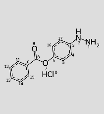 Cl.NNc1ccc(OC(=O)c2ccccc2)cc1